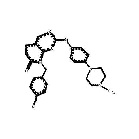 CN1CCN(c2ccc(Nc3ncc4ccc(=O)n(Cc5ccc(Cl)cc5)c4n3)cc2)CC1